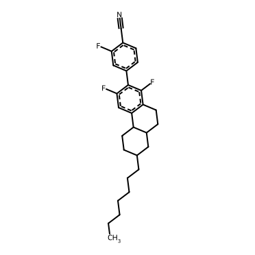 CCCCCCCC1CCC2c3cc(F)c(-c4ccc(C#N)c(F)c4)c(F)c3CCC2C1